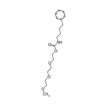 COCCOCCOCCOC(=O)NCCCCc1ccccc1